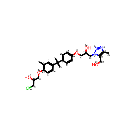 Cc1cc(C(C)(C)c2ccc(OCC(O)Cn3nnc(C)c3CO)cc2)ccc1OCC(O)CCl